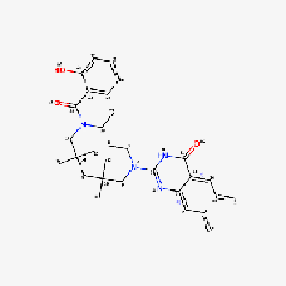 C=C/C=c1/nc(N(CC)CC(C)(C)CC(C)(C)CN(CC)C(=O)c2ccccc2O)[nH]c(=O)/c1=C/C=C